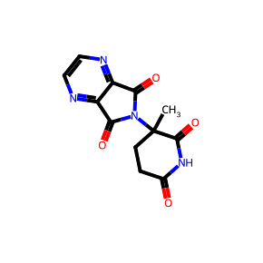 CC1(N2C(=O)c3nccnc3C2=O)CCC(=O)NC1=O